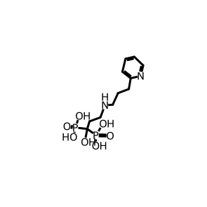 O=P(O)(O)C(O)(CCNCCCc1ccccn1)P(=O)(O)O